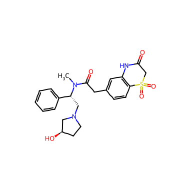 CN(C(=O)Cc1ccc2c(c1)NC(=O)CS2(=O)=O)[C@H](CN1CC[C@@H](O)C1)c1ccccc1